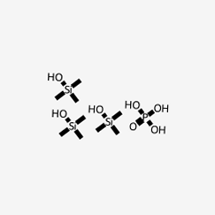 C[Si](C)(C)O.C[Si](C)(C)O.C[Si](C)(C)O.O=P(O)(O)O